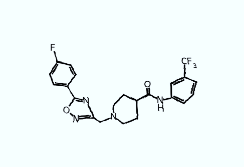 O=C(Nc1cccc(C(F)(F)F)c1)C1CCN(Cc2noc(-c3ccc(F)cc3)n2)CC1